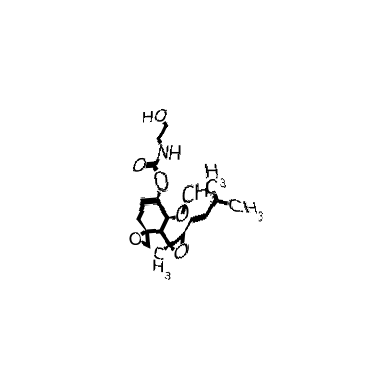 CO[C@H]1C([C@@]2(C)O[C@@H]2/C=C/C(C)C)[C@]2(CC[C@H]1OC(=O)NCCO)CO2